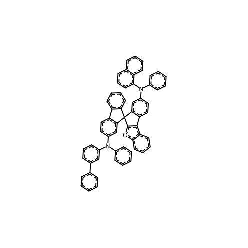 c1ccc(-c2cccc(N(c3ccccc3)c3ccc4c(c3)C3(c5ccccc5-4)c4cc(N(c5ccccc5)c5cccc6ccccc56)ccc4-c4c3oc3ccccc43)c2)cc1